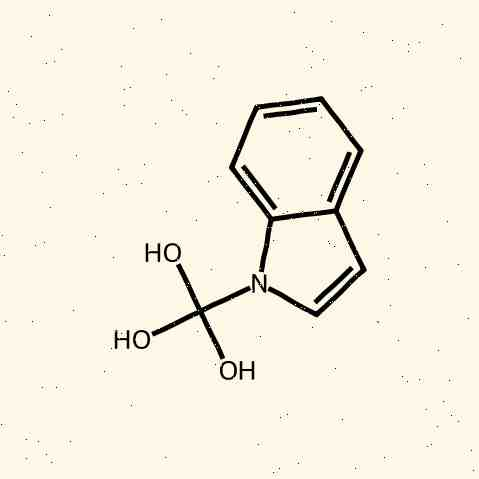 OC(O)(O)n1ccc2ccccc21